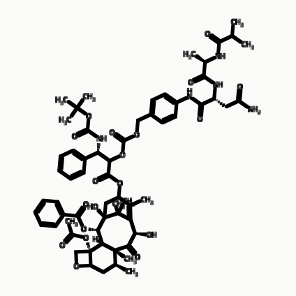 CC(=O)O[C@@]12COC1C[C@H](C)[C@@]1(C)C(=O)[C@H](O)C3=C(C)C(OC(=O)C(OC(=O)OCc4ccc(NC(=O)[C@@H](CC(N)=O)NC(=O)[C@@H](C)NC(=O)C(C)C)cc4)[C@@H](NC(=O)OC(C)(C)C)c4ccccc4)C[C@@](O)([C@@H](OC(=O)c4ccccc4)[C@@H]12)C3(C)C